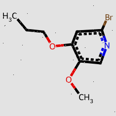 CCCOc1cc(Br)ncc1OC